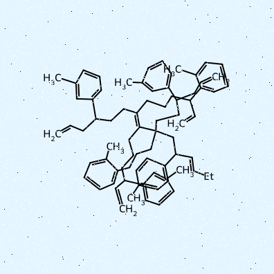 C=CCC(CCC(CCCC(C=C)c1ccccc1C)=C(CCCC(C=C)c1cccc(C)c1)C(CCCc1ccccc1C)(CCC(CC=C)c1cccc(C)c1)CC(C=CCC)c1ccc(C)cc1)c1cccc(C)c1